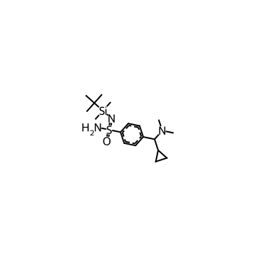 CN(C)C(c1ccc(S(N)(=O)=N[Si](C)(C)C(C)(C)C)cc1)C1CC1